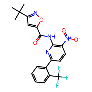 CC(C)(C)c1cc(C(=O)Nc2nc(-c3ccccc3C(F)(F)F)ccc2[N+](=O)[O-])on1